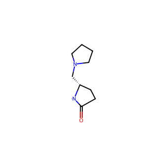 O=C1CC[C@@H](CN2CCCC2)[N]1